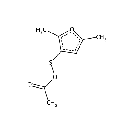 CC(=O)OSc1cc(C)oc1C